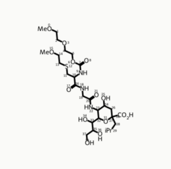 COCCOCCOC(=O)NC(CSCCOC)C(=O)NCC(=O)NC1C(O)CC(CC(C)C)(C(=O)O)OC1C(O)C(O)CO